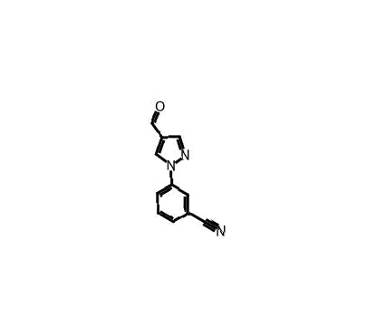 N#Cc1cccc(-n2cc(C=O)cn2)c1